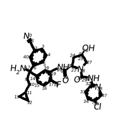 N#Cc1cccc(C(N)(CCC2CC2)c2ccc(F)c(NC(=O)[C@H]3C[C@@H](O)CN3C(=O)Nc3ccc(Cl)cn3)c2)c1